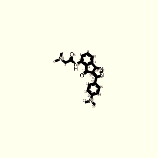 CN(C)CC(=O)Nc1cccc2c1C(=O)C1=C(c3ccc(N(C)C)cc3)N=NC12